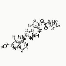 COCc1nn2ccnc(Nc3cc([C@@H]4CC[C@H](OC(=O)NC56CC(C5)C6)[C@H]4F)[nH]n3)c2c1C